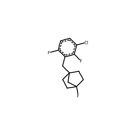 Fc1ccc(Cl)c(F)c1CC12CCC(F)(CC1)C2